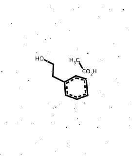 CC(=O)O.OCCc1ccccc1